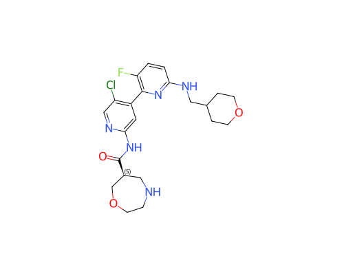 O=C(Nc1cc(-c2nc(NCC3CCOCC3)ccc2F)c(Cl)cn1)[C@H]1CNCCOC1